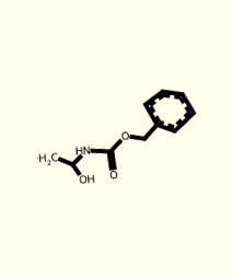 [CH2]C(O)NC(=O)OCc1ccccc1